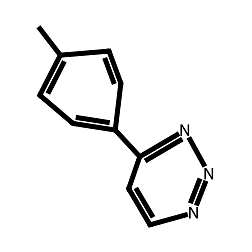 Cc1ccc(-c2ccnnn2)cc1